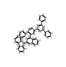 c1ccc(-c2nc(-c3ccccc3)nc(-c3ccc(-c4ccccc4)c(-c4cc(-n5c6ccccc6c6ccccc65)cc5ccccc45)c3)n2)cc1